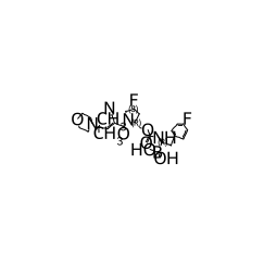 CC(C)(C=C(C#N)C(=O)N1C[C@@H](F)C[C@@H]1COC(=O)N[C@@H](Cc1ccc(F)cc1)B(O)O)N1CCOCC1